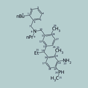 CCCCc1ccccc1CN(CCC)Cc1cc(C(CC)c2ccc(PC)c(N)c2C)ccc1C